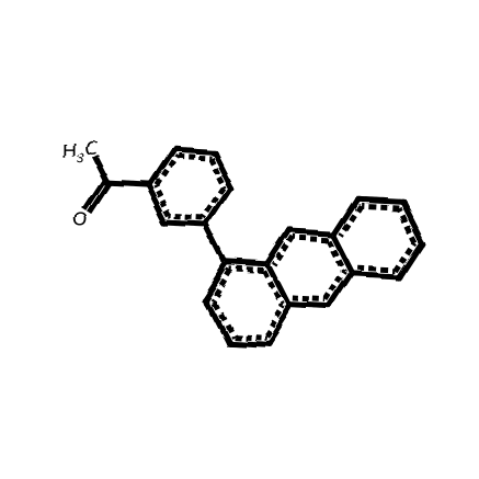 CC(=O)c1cccc(-c2cccc3cc4ccccc4cc23)c1